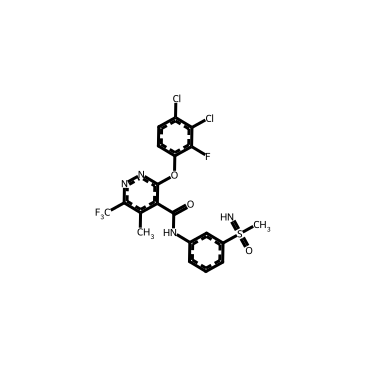 Cc1c(C(F)(F)F)nnc(Oc2ccc(Cl)c(Cl)c2F)c1C(=O)Nc1cccc(S(C)(=N)=O)c1